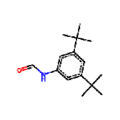 CC(C)(C)c1cc(NC=O)cc(C(C)(C)C)c1